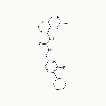 Cc1cc2c(NC(=O)NCc3ccc(N4CCCCC4)c(F)c3)cccc2cn1